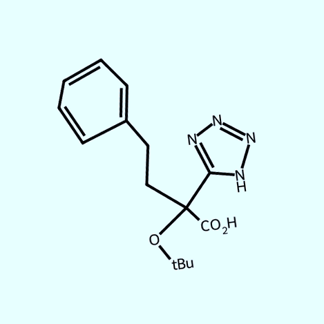 CC(C)(C)OC(CCc1ccccc1)(C(=O)O)c1nnn[nH]1